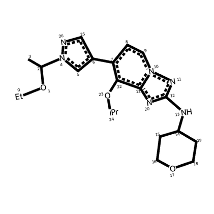 CCOC(C)n1cc(-c2ccn3nc(NC4CCOCC4)nc3c2OC(C)C)cn1